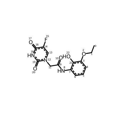 CCOc1cccc(NC(=O)Cn2cc(F)c(=O)[nH]c2=O)c1O